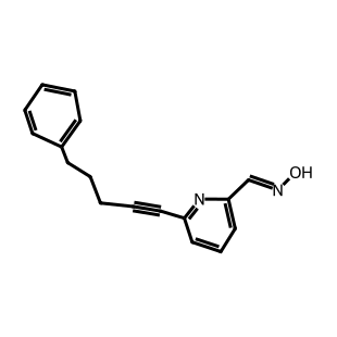 ON=Cc1cccc(C#CCCCc2ccccc2)n1